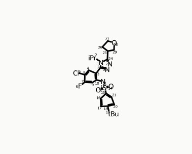 CC(C)n1c(-c2cc(Cl)c(F)cc2[N]S(=O)(=O)c2ccc(C(C)(C)C)cc2)nnc1C1CCOC1